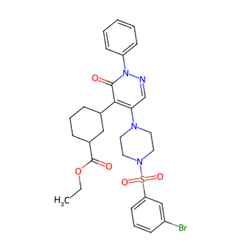 CCOC(=O)C1CCCC(c2c(N3CCN(S(=O)(=O)c4cccc(Br)c4)CC3)cnn(-c3ccccc3)c2=O)C1